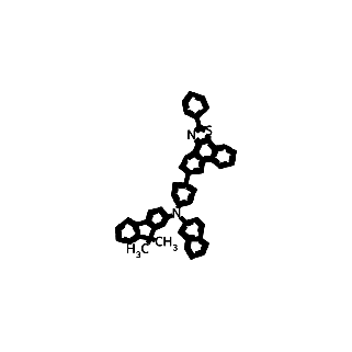 CC1(C)c2ccccc2-c2ccc(N(c3ccc(-c4ccc5c(c4)c4ccccc4c4sc(-c6ccccc6)nc54)cc3)c3ccc4ccccc4c3)cc21